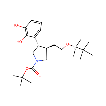 CC(C)(C)OC(=O)N1C[C@H](CCO[Si](C)(C)C(C)(C)C)[C@@H](c2cccc(O)c2O)C1